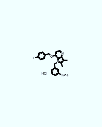 COc1cccc(Cn2c(C)c(C)c3nccc(OCc4ccc(F)cc4)c32)c1.Cl